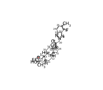 CCOC[C@]12CC[C@@](C)(O)C[C@@H]1CC[C@H]1[C@@H]3CC[C@H](C(=O)Cn4nc5ccc(C)c(F)c5n4)[C@@]3(C)CC[C@@H]12